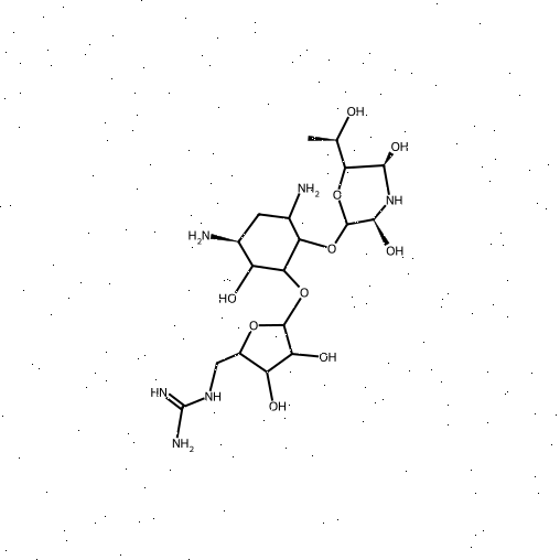 C[C@@H](O)C1OC(OC2C(N)C[C@H](N)C(O)C2OC2OC(CNC(=N)N)C(O)C2O)[C@H](O)N[C@@H]1O